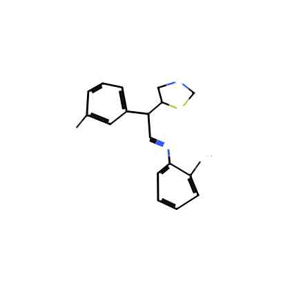 CSc1ccccc1N=CC(c1cccc(C(F)(F)F)c1)C1CNCS1